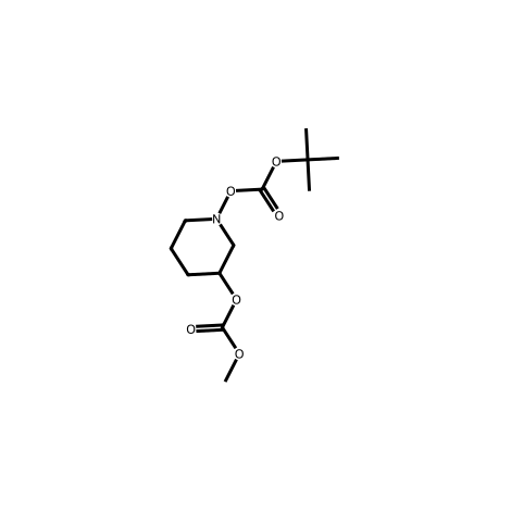 COC(=O)OC1CCCN(OC(=O)OC(C)(C)C)C1